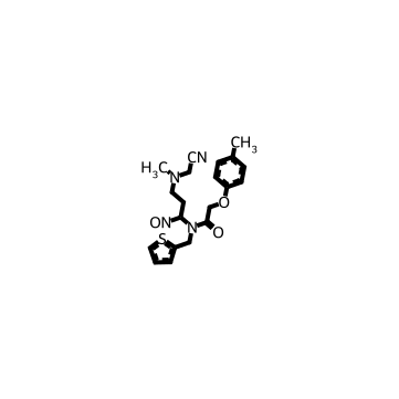 Cc1ccc(OCC(=O)N(Cc2cccs2)C(CCN(C)CC#N)N=O)cc1